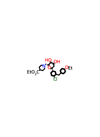 CCOC(=O)C1CCN(C[C@H]2O[C@@H](c3ccc(Cl)c(Cc4ccc(OCC)cc4)c3)C[C@@H](O)[C@@H]2O)CC1